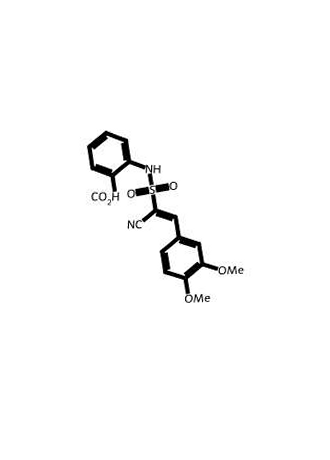 COc1ccc(/C=C(\C#N)S(=O)(=O)Nc2ccccc2C(=O)O)cc1OC